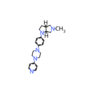 CN1C[C@H]2CCN(c3ccc(N4CCN(c5ccncc5)CC4)cc3)[C@H]2C1